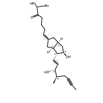 CC#CC[C@@H](C)[C@H](O)/C=C/[C@@H]1[C@H]2C/C(=C/CCCC(=O)N(CCCC)CCCC)C[C@H]2C[C@H]1O